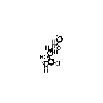 O=C(NC1[C@H]2C[C@](O)(c3cc(Cl)cc4[nH]ncc34)C[C@@H]12)c1cccnc1